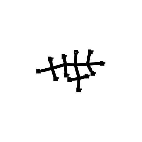 [O]C(C(Br)(Br)Br)(C(Br)(Br)Br)C(Br)(Br)C(Br)(Br)Br